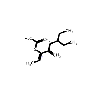 C=C(C)S/C(=C\C)C(=C)CC(CC)CC